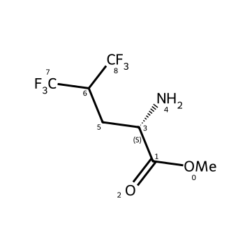 COC(=O)[C@@H](N)CC(C(F)(F)F)C(F)(F)F